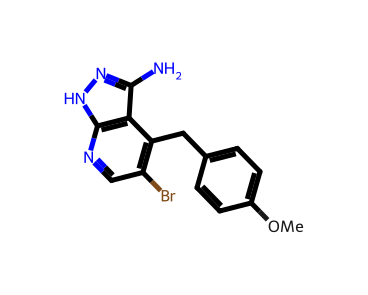 COc1ccc(Cc2c(Br)cnc3[nH]nc(N)c23)cc1